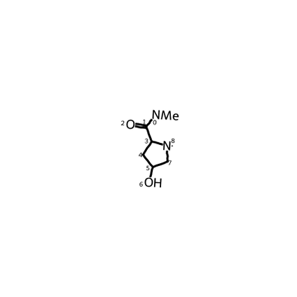 CNC(=O)C1CC(O)C[N]1